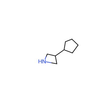 C1CCC(C2CNC2)C1